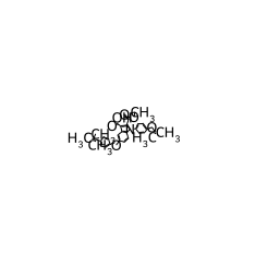 COC(=O)c1c(C(=O)O)c2cc(Oc3ccc(C(C)(C)C)cc3)ccc2n1-c1ccc(OC(C)C)cc1